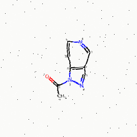 CC(=O)n1ncc2cnccc21